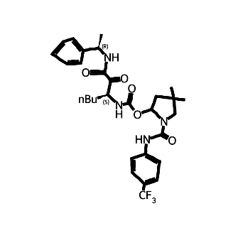 CCCC[C@H](NC(=O)OC1CC(C)(C)CN1C(=O)Nc1ccc(C(F)(F)F)cc1)C(=O)C(=O)N[C@H](C)c1ccccc1